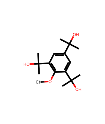 CCOc1c(C(C)(C)O)cc(C(C)(C)O)cc1C(C)(C)O